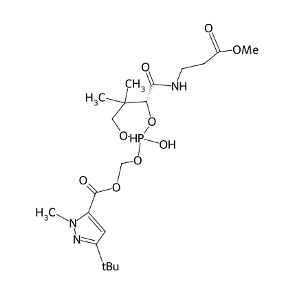 COC(=O)CCNC(=O)[C@@H]1O[PH](O)(OCOC(=O)c2cc(C(C)(C)C)nn2C)OCC1(C)C